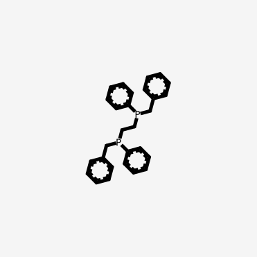 c1ccc(CP(CCP(Cc2ccccc2)c2ccccc2)c2ccccc2)cc1